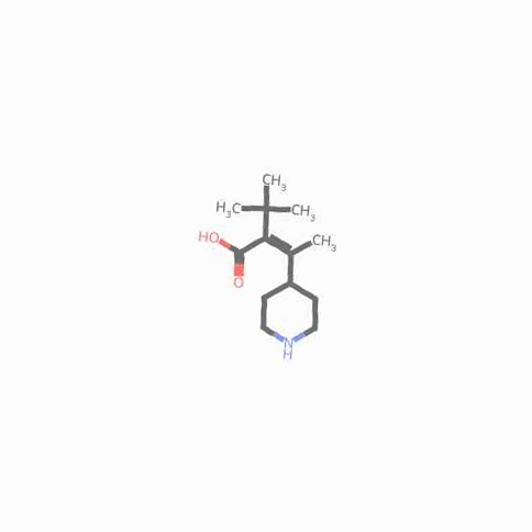 CC(=C(C(=O)O)C(C)(C)C)C1CCNCC1